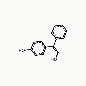 ON=C(c1ccccc1)c1ccc(O)cc1